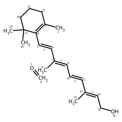 C=O.CC1=C(/C=C/C(C)=C/C=C/C(C)=C/CO)C(C)(C)CCC1